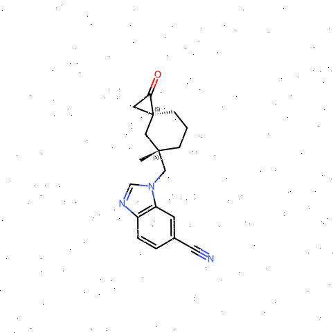 C[C@]1(Cn2cnc3ccc(C#N)cc32)CCC[C@@]2(CC2=O)C1